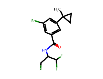 CC1(c2cc(Br)cc(C(=O)NC(CF)C(F)F)c2)CC1